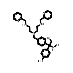 CCNC(CO)(c1ccc(O)cc1)c1ccc(CN(CCNCc2ccccn2)CCNCc2ccccn2)cc1